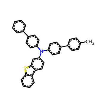 Cc1ccc(-c2ccc(N(c3ccc(-c4ccccc4)cc3)c3ccc4c(c3)sc3ccccc34)cc2)cc1